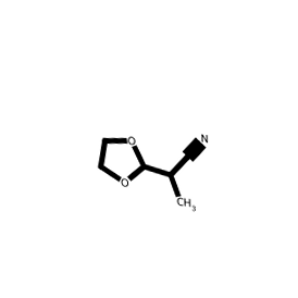 CC(C#N)C1OCCO1